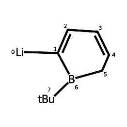 [Li][C]1=CC=CCB1C(C)(C)C